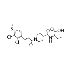 CCC(NC(=O)C1CCN(C(=O)C=Cc2ccc(SC)c(Cl)c2Cl)CC1)C(=O)O